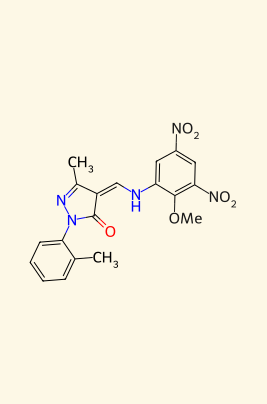 COc1c(NC=C2C(=O)N(c3ccccc3C)N=C2C)cc([N+](=O)[O-])cc1[N+](=O)[O-]